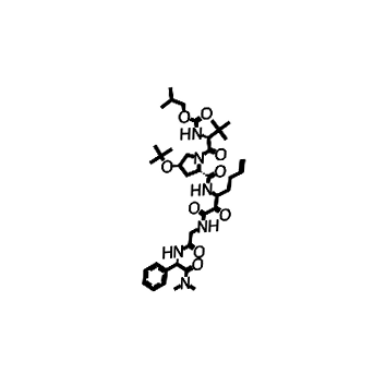 C=CCCC(NC(=O)[C@@H]1C[C@@H](OC(C)(C)C)CN1C(=O)[C@@H](NC(=O)OCC(C)C)C(C)(C)C)C(=O)C(=O)NCC(=O)N[C@H](C(=O)N(C)C)c1ccccc1